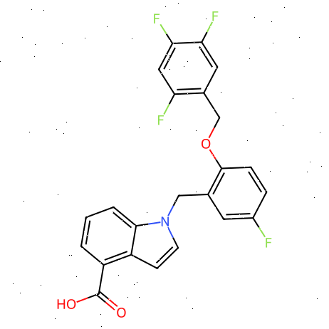 O=C(O)c1cccc2c1ccn2Cc1cc(F)ccc1OCc1cc(F)c(F)cc1F